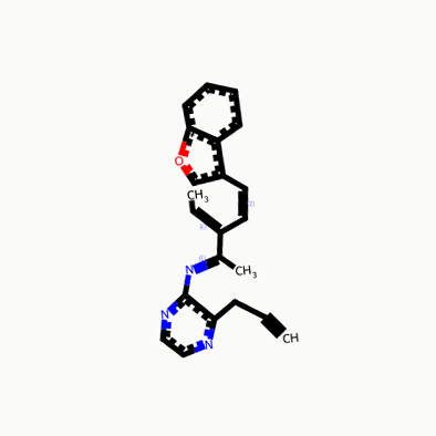 C#CCc1nccnc1/N=C(C)/C(/C=C\c1coc2ccccc12)=C/C